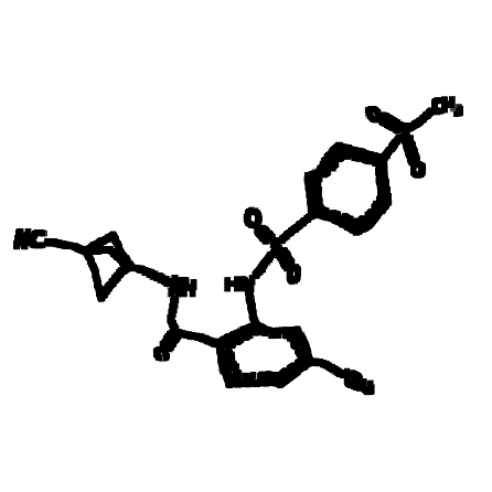 CC(C)(C)c1ccc(C(=O)NC23CC(C#N)(C2)C3)c(NS(=O)(=O)c2ccc(S(C)(=O)=O)cc2)c1